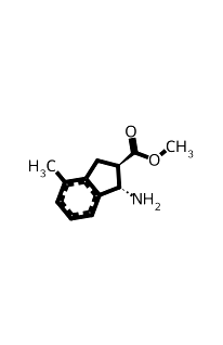 COC(=O)[C@@H]1Cc2c(C)cccc2[C@H]1N